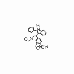 O=[N+]([O-])CC(c1ccc2c(c1)COB2O)c1c(-c2ccccc2)[nH]c2ccccc12